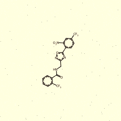 O=C(NCc1noc(-c2ccc(C(F)(F)F)cc2[N+](=O)[O-])n1)c1ccccc1C(F)(F)F